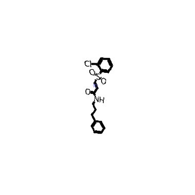 O=C(/C=C/S(=O)(=O)c1ccccc1Cl)NCCCc1ccccc1